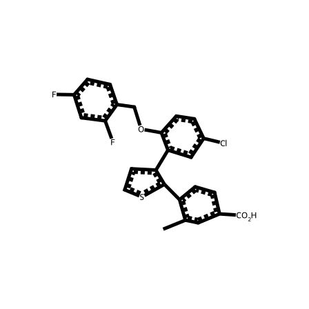 Cc1cc(C(=O)O)ccc1-c1sccc1-c1cc(Cl)ccc1OCc1ccc(F)cc1F